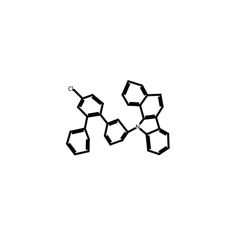 Clc1ccc(-c2cccc(-n3c4ccccc4c4ccc5ccccc5c43)c2)c(-c2ccccc2)c1